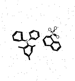 Cc1cc(C)c([S+](c2ccccc2)c2ccccc2)c(C)c1.O=S(=O)([O-])c1cccc2ccccc12